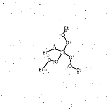 CCO[O][Ti]([O]CC)([O]OCC)[O]OCC